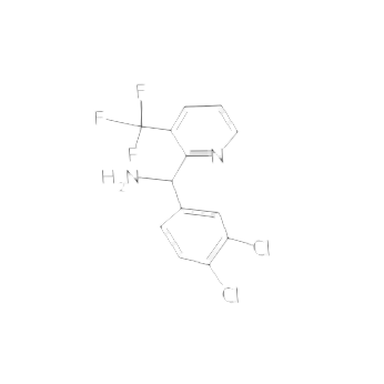 NC(c1ccc(Cl)c(Cl)c1)c1ncccc1C(F)(F)F